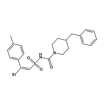 CC/C(=C/S(=O)(=O)NC(=O)N1CCC(Cc2ccccc2)CC1)c1ccc(C)cc1